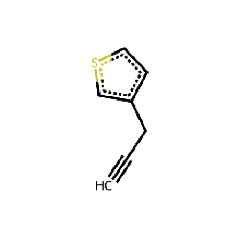 C#CCc1ccsc1